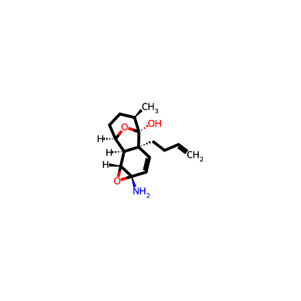 C=CCC[C@]12C=C[C@]3(N)O[C@@H]3[C@H]1[C@H]1CC[C@@H](C)[C@]2(O)O1